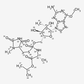 COc1nc(N)nc2c1ncn2[C@@H]1O[C@H](COP(=O)(N[C@H](C)C(=O)OC(C)C)SCC2C(=O)NC(=O)N2C)[C@@H](O)[C@@]1(C)O